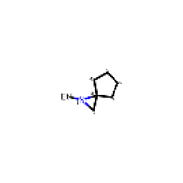 CCN1CC12CCCC2